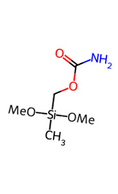 CO[Si](C)(COC(N)=O)OC